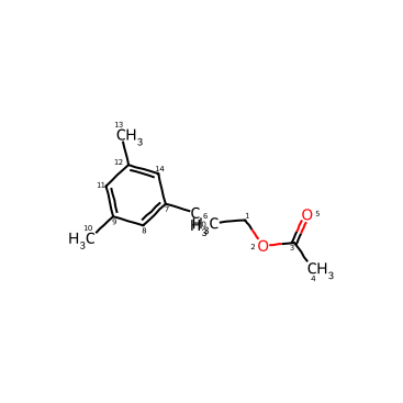 CCOC(C)=O.Cc1cc(C)cc(C)c1